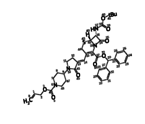 C=CCOC(=O)N1CCC(N2CCC(=CC3=C(C(=O)OC(c4ccccc4)c4ccccc4)N4C(=O)[C@@H](NC(=O)OC(C)(C)C)[C@H]4SC3)C2=O)CC1